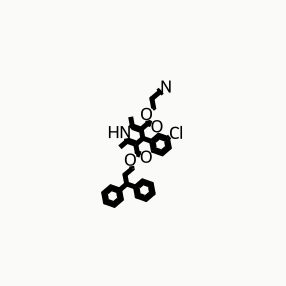 CC1=C(C(=O)OCCC#N)C(c2cccc(Cl)c2)C(C(=O)OCCC(c2ccccc2)c2ccccc2)=C(C)N1